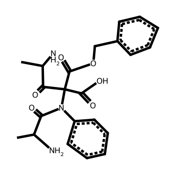 CC(N)C(=O)N(c1ccccc1)C(C(=O)O)(C(=O)OCc1ccccc1)C(=O)C(C)N